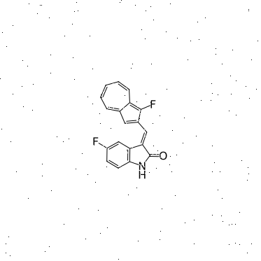 O=C1Nc2ccc(F)cc2/C1=C\c1cc2cccccc-2c1F